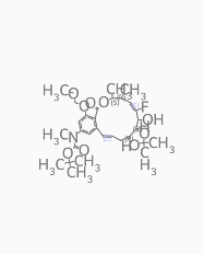 COCOc1cc(N(C)C(=O)OC(C)(C)C)cc2c1C(=O)O[C@@H](C)[C@H](C)/C=C(/F)C(O)[C@@H]1OC(C)(C)O[C@@H]1C/C=C/2